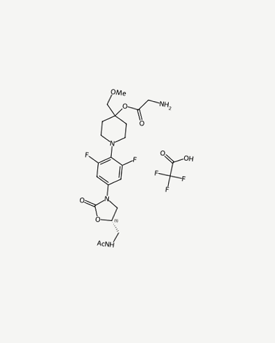 COCC1(OC(=O)CN)CCN(c2c(F)cc(N3C[C@H](CNC(C)=O)OC3=O)cc2F)CC1.O=C(O)C(F)(F)F